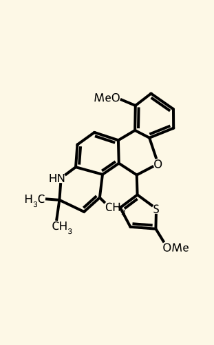 COc1ccc(C2Oc3cccc(OC)c3-c3ccc4c(c32)C(C)=CC(C)(C)N4)s1